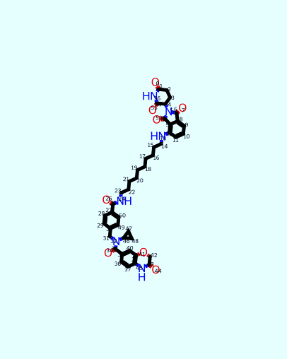 O=C1CCC(N2C(=O)c3cccc(NCCCCCCCCCCNC(=O)c4ccc(CN(C(=O)c5ccc6c(c5)OCC(=O)N6)C5CC5)cc4)c3C2=O)C(=O)N1